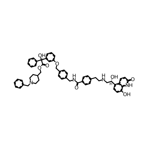 O=C(NCc1ccc(COc2cccc([C@](O)(C(=O)OCC3CCN(Cc4ccccc4)CC3)c3ccccc3)c2)cc1)c1ccc(CCNC[C@H](O)c2ccc(O)c3[nH]c(=O)ccc23)cc1